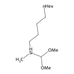 CCCCCCCCCC[SiH](C)C(OC)OC